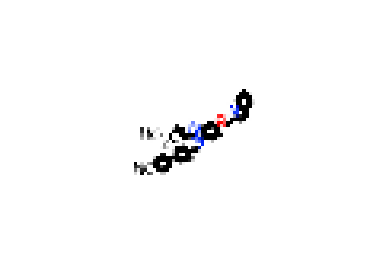 CC(C)(Cc1nc2cc(OCc3ccc4ccccc4n3)ccc2n1Cc1ccc(-c2ccc(C#N)cc2)cc1)C(=O)O